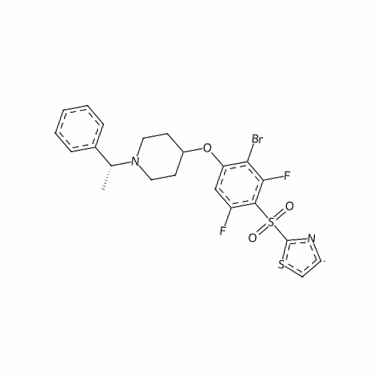 C[C@H](c1ccccc1)N1CCC(Oc2cc(F)c(S(=O)(=O)c3n[c]cs3)c(F)c2Br)CC1